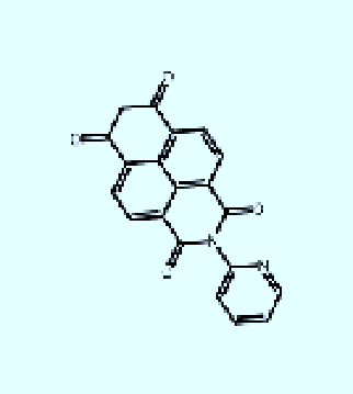 O=C1CC(=O)c2ccc3c4c(ccc1c24)C(=O)N(c1ccccn1)C3=O